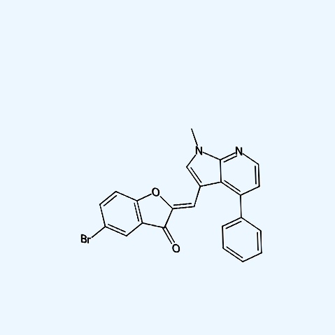 Cn1cc(C=C2Oc3ccc(Br)cc3C2=O)c2c(-c3ccccc3)ccnc21